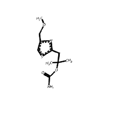 COCc1csc(CC(C)(C)OC(N)=O)n1